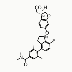 Cc1cc(C(=O)N(C)C)cc(C)c1-c1ccc(F)c2c1CC[C@H]2Oc1ccc2c(c1)OC[C@H]2CC(=O)O